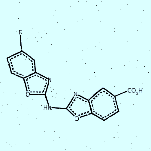 O=C(O)c1ccc2oc(Nc3nc4cc(F)ccc4o3)nc2c1